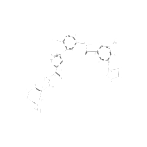 Cc1ccc(NC(=O)c2cc(N3CCCC3)cc(C(F)(F)F)c2)cc1-c1cc(C(=O)NCC2=CCCN(C)C2)on1